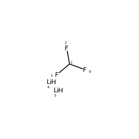 FC(F)F.[LiH].[LiH]